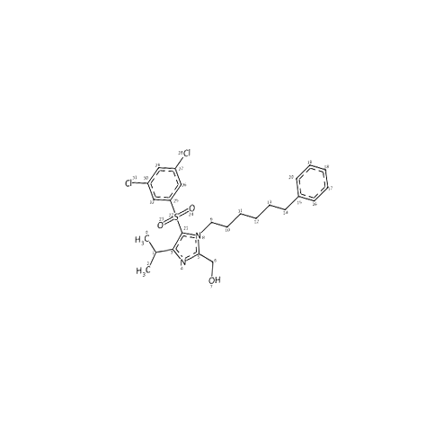 CC(C)c1nc(CO)n(CCCCCCc2ccccc2)c1S(=O)(=O)c1cc(Cl)cc(Cl)c1